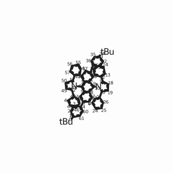 CC(C)(C)c1ccc(-c2ccc3c(-n4c(-c5ccccc5)ccc4-c4ccccc4)c4cc(-c5ccc(C(C)(C)C)cc5)ccc4c(-n4c(-c5ccccc5)ccc4-c4ccccc4)c3c2)cc1